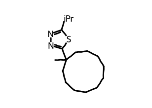 CC(C)c1nnc(C2(C)CCCCCCCCCC2)s1